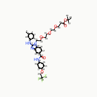 Cc1cccc(Nc2nc3cc(C(=O)Nc4ccc(OCC(F)(F)F)cc4)ccc3n2CCOCCOCCOCCC(=O)OC(C)(C)C)c1